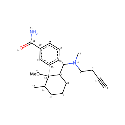 C#CCCN(C)CC1CCCC(C)C1(OC)c1cccc(C(N)=O)c1